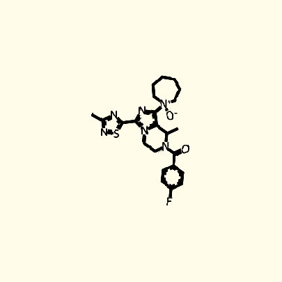 Cc1nsc(-c2nc([N+]3([O-])CCCCCC3)c3n2CCN(C(=O)c2ccc(F)cc2)C3C)n1